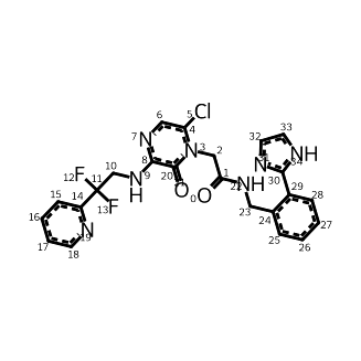 O=C(Cn1c(Cl)cnc(NCC(F)(F)c2ccccn2)c1=O)NCc1ccccc1-c1ncc[nH]1